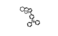 O=C1CCCCC1=Cc1ccc(-c2ccc(N(c3ccccc3)c3ccccc3)cc2)s1